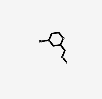 CC(C)N1CCOC(COI)C1